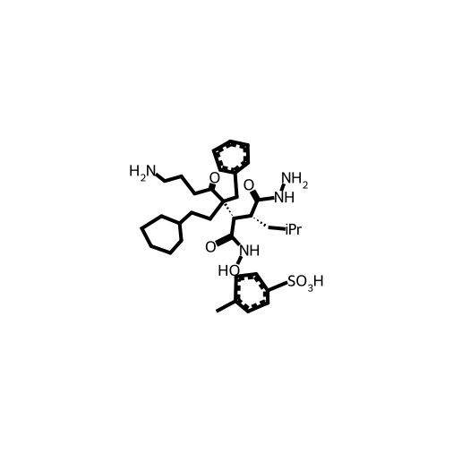 CC(C)C[C@@H](C(=O)NN)[C@H](C(=O)NO)C(CCC1CCCCC1)(Cc1ccccc1)C(=O)CCCN.Cc1ccc(S(=O)(=O)O)cc1